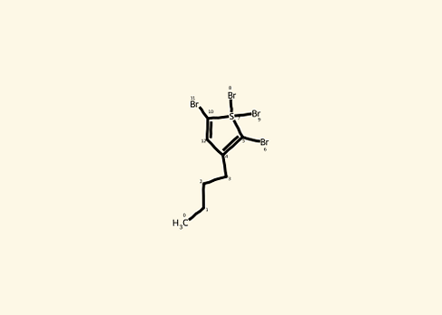 CCCCC1=C(Br)S(Br)(Br)C(Br)=C1